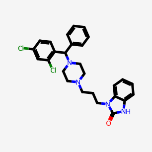 O=c1[nH]c2ccccc2n1CCCN1CCN(C(c2ccccc2)c2ccc(Cl)cc2Cl)CC1